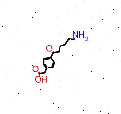 NCCCCCC(=O)c1ccc(CC(=O)O)cc1